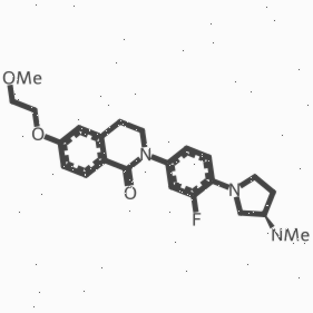 CN[C@@H]1CCN(c2ccc(N3CCc4cc(OCCOC)ccc4C3=O)cc2F)C1